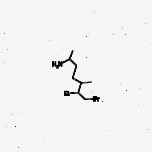 CCC(CC(C)C)C(C)CCC(C)N